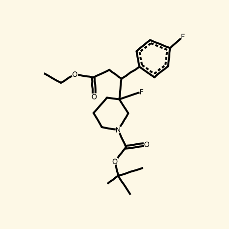 CCOC(=O)CC(c1ccc(F)cc1)C1(F)CCCN(C(=O)OC(C)(C)C)C1